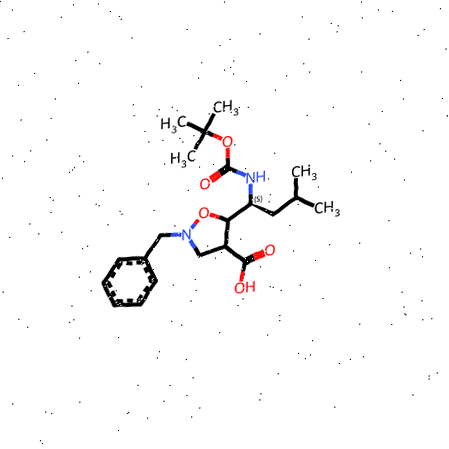 CC(C)C[C@H](NC(=O)OC(C)(C)C)C1ON(Cc2ccccc2)CC1C(=O)O